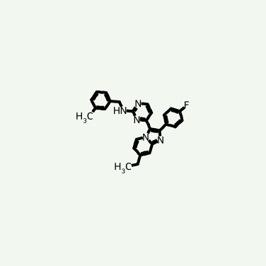 CCc1ccn2c(-c3ccnc(NCc4cccc(C)c4)n3)c(-c3ccc(F)cc3)nc2c1